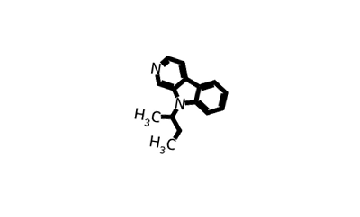 CCC(C)n1c2ccccc2c2ccncc21